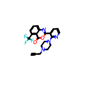 C#CCN1CCN(c2ncccc2-c2nc3cccc(C(F)(F)F)c3c(=O)o2)CC1